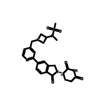 CN(C1CN(Cc2ccnc(-c3ccc4c(c3)CN([C@H]3CCC(=O)NC3=O)C4=O)c2)C1)S(C)(=O)=O